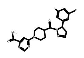 NC(=O)c1cc(N2CCC(C(=O)N3N=CCC3c3cc(F)cc(F)c3)CC2)ncn1